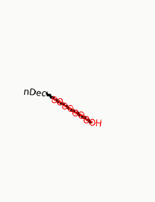 CCCCCCCCCCCCCCCOCCOCCOCCOCCOCCOCCOCCO